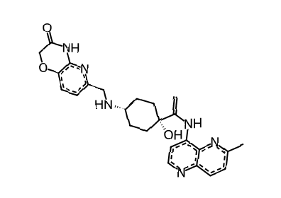 C=C(Nc1ccnc2ccc(C)nc12)[C@]1(O)CC[C@@H](NCc2ccc3c(n2)NC(=O)CO3)CC1